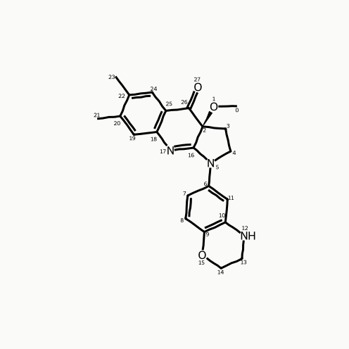 CO[C@@]12CCN(c3ccc4c(c3)NCCO4)C1=Nc1cc(C)c(C)cc1C2=O